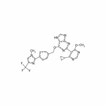 COc1ncnc(C2CC2)c1-c1nc(OCc2ccc(-c3nc(C(F)(F)F)cn3C)cc2)c2[nH]cnc2n1